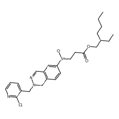 CCCCC(CC)COC(=O)CC[S+]([O-])c1ccc2c(c1)C=NN(Cc1cccnc1Cl)C2